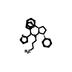 CCCCN(P(c1cccs1)c1cccs1)P1[C@@H](c2ccccc2)CC[C@@H]1c1ccccc1